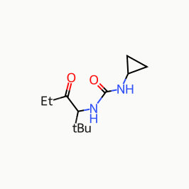 CCC(=O)C(NC(=O)NC1CC1)C(C)(C)C